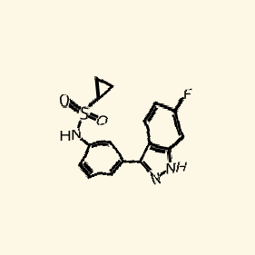 O=S(=O)(Nc1cccc(-c2n[nH]c3cc(F)ccc23)c1)C1CC1